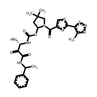 CCCC[C@H](NC(=O)OC1CC(C)(C)CN1C(=O)c1csc(-c2snnc2C)n1)C(=O)C(=O)NC(C)c1ccccc1